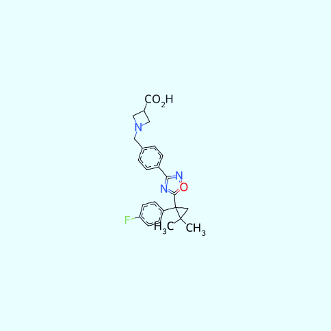 CC1(C)CC1(c1ccc(F)cc1)c1nc(-c2ccc(CN3CC(C(=O)O)C3)cc2)no1